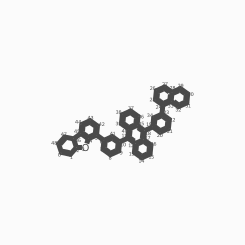 C1=CC2Oc3c(-c4cccc(-c5c6ccccc6c(-c6cccc(-c7cccc8ccccc78)c6)c6ccccc56)c4)cccc3C2C=C1